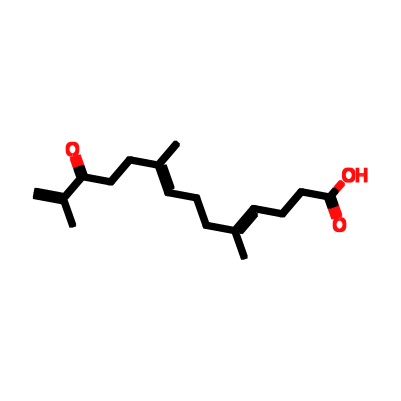 C=C(C)C(=O)CCC(C)=CCCC(C)=CCCC(=O)O